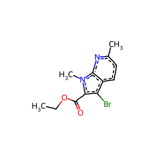 CCOC(=O)c1c(Br)c2ccc(C)nc2n1C